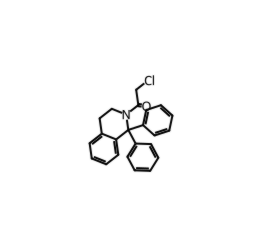 O=C(CCl)N1CCc2ccccc2C1(c1ccccc1)c1ccccc1